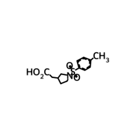 Cc1ccc(S(=O)(=O)N2CCC(CC(=O)O)C2)cc1